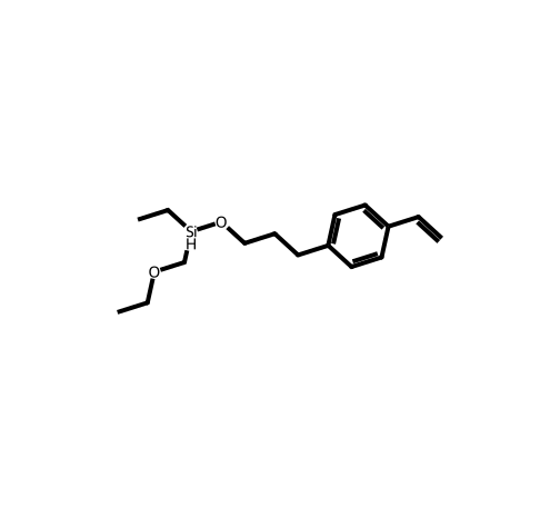 C=Cc1ccc(CCCO[SiH](CC)COCC)cc1